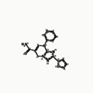 NC(=O)C1=CN(c2ccccn2)c2nc(-c3cccs3)nn2C1